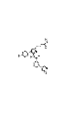 CNC(=O)CCCc1cn(-c2ccc(F)cc2)c(NC(=O)c2cccc(-c3cn[nH]c3)c2)n1